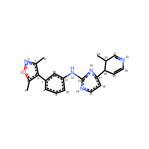 Cc1noc(C)c1-c1cccc(Nc2nccc(C3C=CN=CC3C)n2)c1